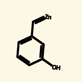 Oc1cccc([CH]=[Zn])c1